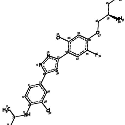 CC(C)Nc1ccc(-c2nnc(-c3cc(F)c(OC[C@H](N)CO)cc3Cl)s2)cc1Cl